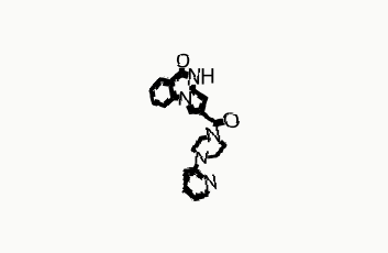 O=C(c1cc2[nH]c(=O)c3ccccc3n2c1)N1CCN(c2ccccn2)CC1